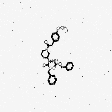 COc1ccc(CC(=O)N2CCCC(N(NC(=O)OCc3ccccc3)C(=O)OCc3ccccc3)C2)cc1